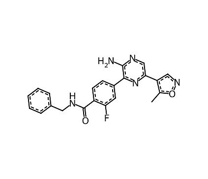 Cc1oncc1-c1cnc(N)c(-c2ccc(C(=O)NCc3ccccc3)c(F)c2)n1